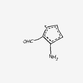 Nc1ccsc1[C]=O